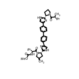 C=C1C[C@@H](c2nc(-c3ccc(-c4ccc(-c5c[nH]c([C@@H]6CCCN6C(=O)[C@@H](C)C(C)C)n5)cc4)cc3)c[nH]2)N(C(=O)[C@@H](NC(=O)OC)C(C)C)C1